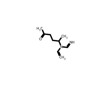 C=CN(C=N)C(C)CCC(C)=O